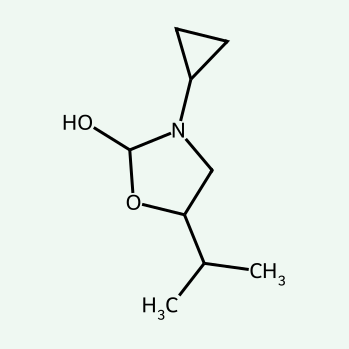 CC(C)C1CN(C2CC2)C(O)O1